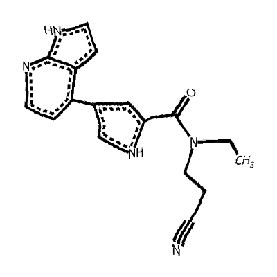 CCN(CCC#N)C(=O)c1cc(-c2ccnc3[nH]ccc23)c[nH]1